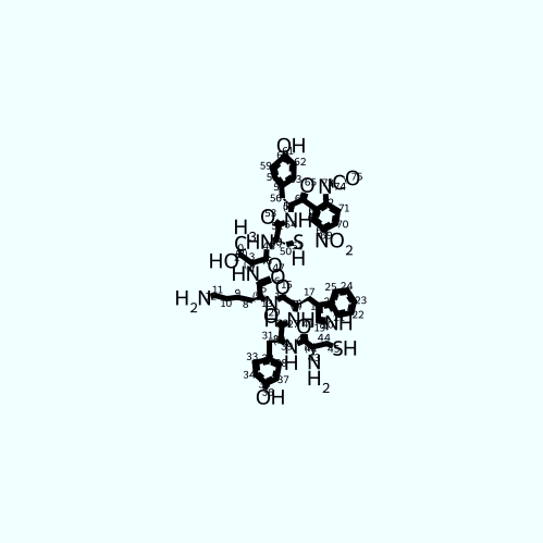 C[C@@H](O)[C@H](NC(=O)[C@H](CCCCN)NC(=O)[C@@H](Cc1c[nH]c2ccccc12)NC(=O)[C@H](Cc1ccc(O)cc1)NC(=O)[C@@H](N)CS)C(=O)N[C@@H](CS)C(=O)N[C@H](Cc1ccc(O)cc1)C(=O)c1cc([N+](=O)[O-])ccc1N=C=O